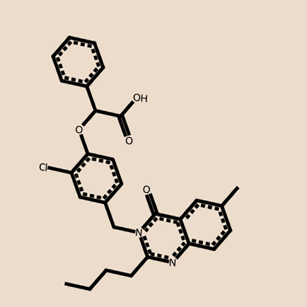 CCCCc1nc2ccc(C)cc2c(=O)n1Cc1ccc(OC(C(=O)O)c2ccccc2)c(Cl)c1